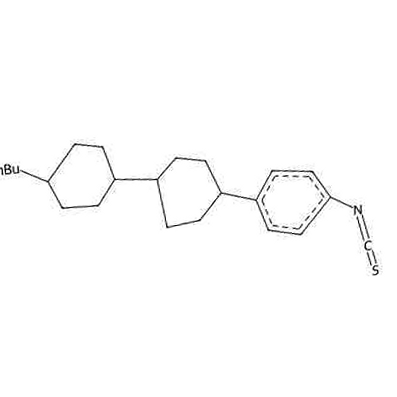 CCCCC1CCC(C2CCC(c3ccc(N=C=S)cc3)CC2)CC1